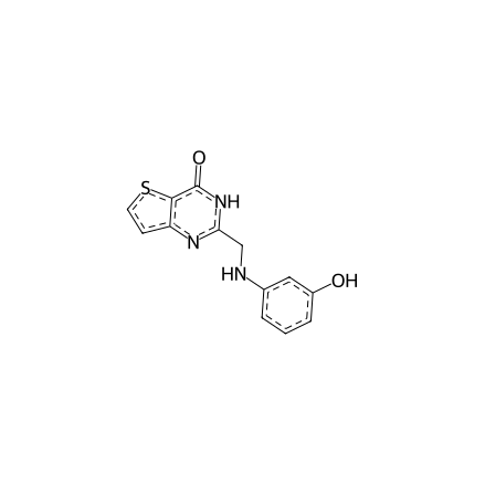 O=c1[nH]c(CNc2cccc(O)c2)nc2ccsc12